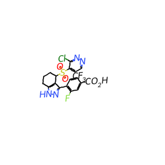 O=C(O)c1ccc(-c2n[nH]c3c2C(S(=O)(=O)c2c(C(F)(F)F)cnnc2Cl)CCC3)c(F)c1